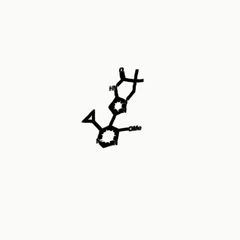 COc1ncnc(C2CC2)c1-c1cc2n(n1)CC(C)(C)C(=O)N2